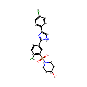 O=S(=O)(c1cc(-c2nc(-c3ccc(Br)cc3)c[nH]2)ccc1Cl)N1CCC(O)CC1